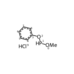 COPOc1ccccc1.Cl